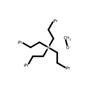 CC(C)CC[N+](CCC(C)C)(CCC(C)C)CCC(C)C.C[O-]